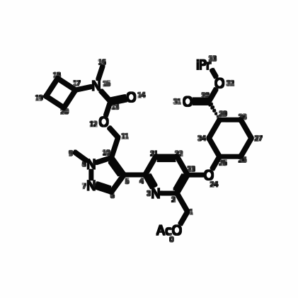 CC(=O)OCc1nc(-c2cnn(C)c2COC(=O)N(C)C2CCC2)ccc1OC1CCC[C@@H](C(=O)OC(C)C)C1